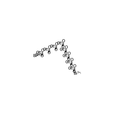 [Bi+3].[Bi+3].[O]=[Ta](=[O])[O-].[O]=[Ta](=[O])[O-].[O]=[Ta](=[O])[O-].[O]=[Ta](=[O])[O-].[O]=[Ta](=[O])[O-].[O]=[Ta](=[O])[O-].[O]=[Ta](=[O])[O-].[O]=[Ta](=[O])[O-].[Sr+2]